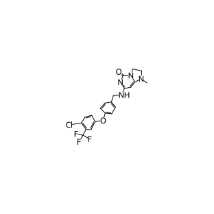 CN1CCn2c1cc(NCc1ccc(Oc3ccc(Cl)c(C(F)(F)F)c3)cc1)nc2=O